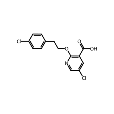 O=C(O)c1cc(Cl)cnc1OCCc1ccc(Cl)cc1